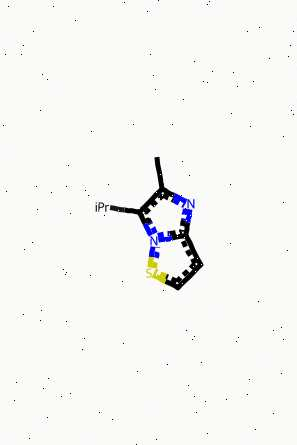 Cc1nc2ccsn2c1C(C)C